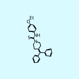 CCOc1ccc(NC(=S)N2CCC(=C(c3ccccc3)c3ccccc3)CC2)cc1